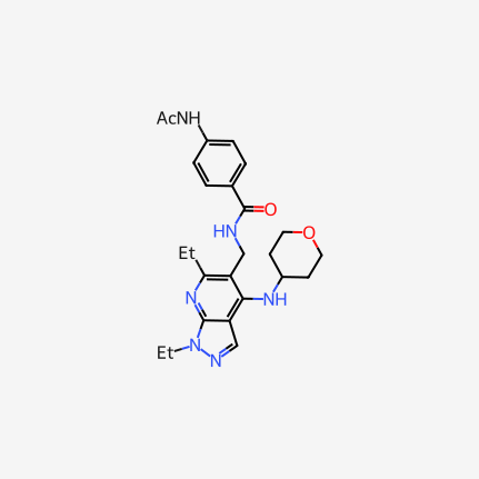 CCc1nc2c(cnn2CC)c(NC2CCOCC2)c1CNC(=O)c1ccc(NC(C)=O)cc1